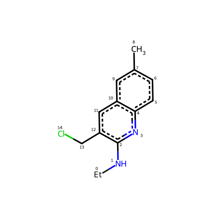 CCNc1nc2ccc(C)cc2cc1CCl